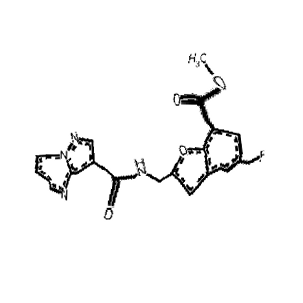 COC(=O)c1cc(F)cc2cc(CNC(=O)c3cnn4cccnc34)oc12